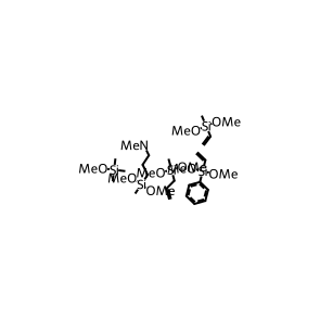 C=CC[Si](C)(OC)OC.C=C[Si](C)(OC)OC.C=C[Si](OC)(OC)c1ccccc1.CNCCC[Si](C)(OC)OC.CO[Si](C)(C)C